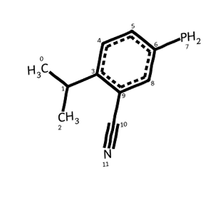 CC(C)c1ccc(P)cc1C#N